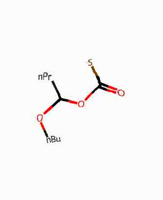 CCCCOC(CCC)OC(=O)[S]